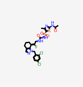 CC(=O)Nc1nc(C)c(S(=O)(=O)NC(=O)NC/C(F)=C2\CCCc3cnn(Cc4ccc(Cl)cc4Cl)c32)s1